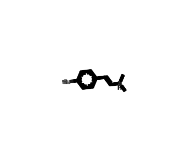 C[SiH](C)C=Cc1ccc(C(C)(C)C)cc1